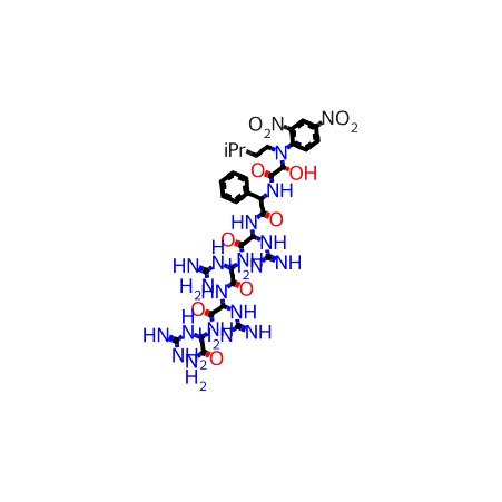 CC(C)CCN(c1ccc([N+](=O)[O-])cc1[N+](=O)[O-])C(O)C(=O)NC(C(=O)NC(NC(=N)N)C(=O)NC(NC(=N)N)C(=O)NC(NC(=N)N)C(=O)NC(NC(=N)N)C(N)=O)c1ccccc1